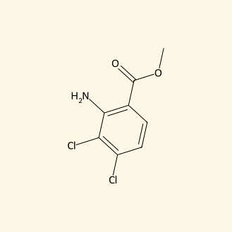 COC(=O)c1ccc(Cl)c(Cl)c1N